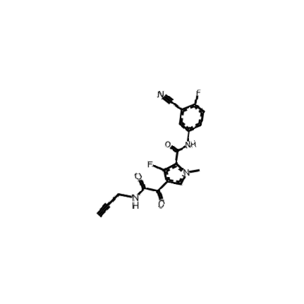 C#CCNC(=O)C(=O)c1cn(C)c(C(=O)Nc2ccc(F)c(C#N)c2)c1F